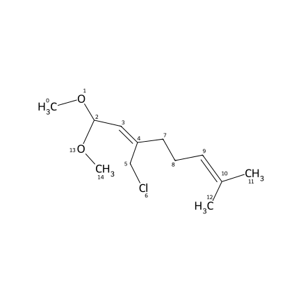 COC(C=C(CCl)CCC=C(C)C)OC